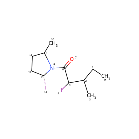 CCC(C)C(I)C(=O)N1C(C)CC[C@H]1I